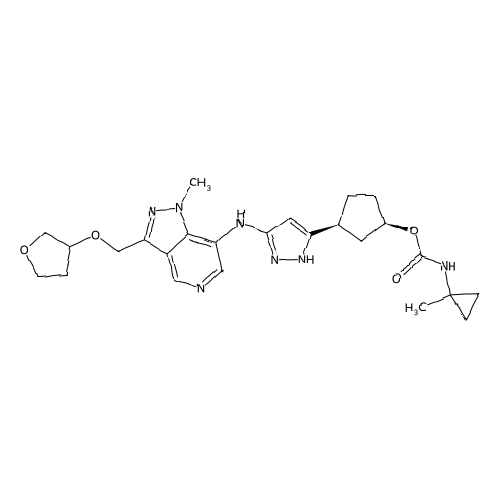 Cn1nc(COC2CCOC2)c2cncc(Nc3cc([C@H]4CC[C@@H](OC(=O)NC5(C)CC5)C4)[nH]n3)c21